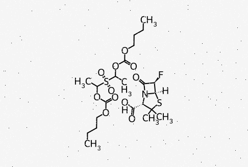 CC1(C)S[C@@H]2[C@H](F)C(=O)N2[C@H]1C(=O)O.CCCCOC(=O)OC(C)S(=O)(=O)C(C)OC(=O)OCCCC